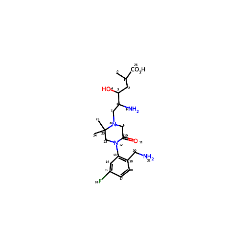 CC(CC(O)C(N)CN1CC(=O)N(c2cc(F)ccc2CN)CC1(C)C)C(=O)O